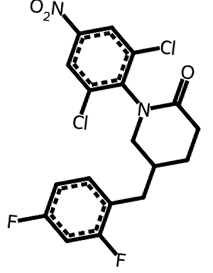 O=C1CCC(Cc2ccc(F)cc2F)CN1c1c(Cl)cc([N+](=O)[O-])cc1Cl